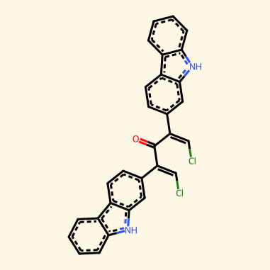 O=C(C(=CCl)c1ccc2c(c1)[nH]c1ccccc12)C(=CCl)c1ccc2c(c1)[nH]c1ccccc12